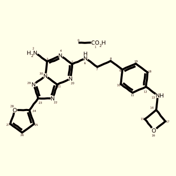 CC(=O)O.Nc1nc(NCCc2ccc(NC3COC3)cc2)nc2nc(-c3ccco3)nn12